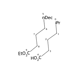 CC(C)CCCC(=O)O.CCCCCCCCCCCCCC(=O)OCC